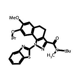 COc1cc2c(cc1OC(C)C)-c1c(c(C(=O)N(C)C(C)(C)C)nn1-c1nc3ccccc3s1)CC2